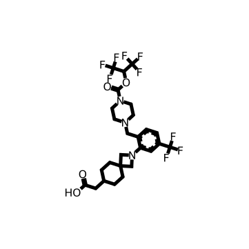 O=C(O)CC1CCC2(CC1)CN(c1cc(C(F)(F)F)ccc1CN1CCN(C(=O)OC(C(F)(F)F)C(F)(F)F)CC1)C2